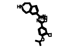 CC(C)Oc1ccc(-c2nc(-c3ccc4c(c3)CCNCC4)no2)cc1Cl.Cl